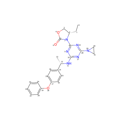 CC[C@H]1COC(=O)N1c1nc(N[C@@H](C)c2ccc(Oc3ccccc3)cc2)nc(N2CC2)n1